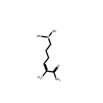 CCCN(CCC)CCCC=C(C)C(N)=O